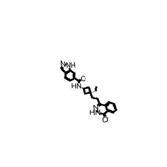 CC[C@]1(CCc2n[nH]c(=O)c3ccccc23)C[C@H](NC(=O)c2ccc3cn[nH]c3c2)C1